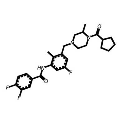 Cc1c(CN2CCN(C(=O)C3CCCC3)C(C)C2)cc(F)cc1NC(=O)c1ccc(F)c(F)c1